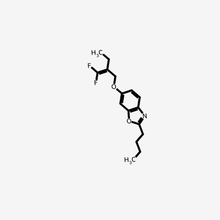 CCCCc1nc2ccc(OCC(CC)=C(F)F)cc2o1